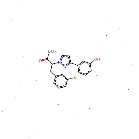 CNC(=O)C(Cc1cccc(Br)c1)n1ccc(-c2cccc(O)c2)n1